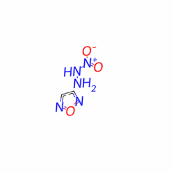 NN[N+](=O)[O-].c1cnon1